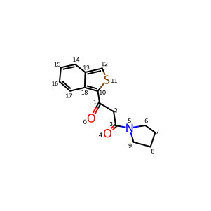 O=C(CC(=O)N1CCCC1)c1scc2ccccc12